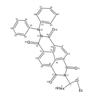 CCCCCCC(OCC)N1C(=O)c2ccc3c4c(ccc(c24)C1=O)C(=O)N(N(c1ccccc1)c1ccccc1)C3=O